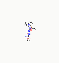 COC(=O)/C(C#N)=C/CNC(=O)CNC(=O)CN(C1CCN(C(C)c2cccc3ccccc23)CC1)S(C)(=O)=O